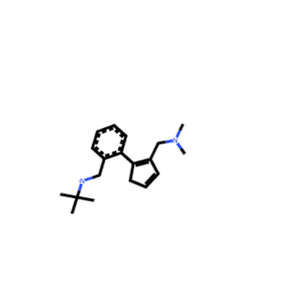 CN(C)CC1=C(c2ccccc2C[N]C(C)(C)C)CC=C1